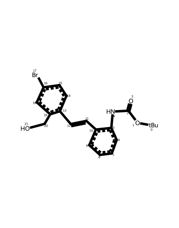 CC(C)(C)OC(=O)Nc1ccccc1C=Cc1ccc(Br)cc1CO